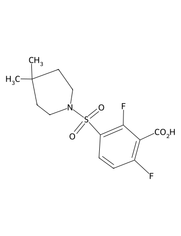 CC1(C)CCN(S(=O)(=O)c2ccc(F)c(C(=O)O)c2F)CC1